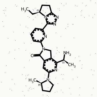 CC[C@H]1CCc2nnc(-c3cccc(N4Cc5c(cc(N6CCC[C@H]6C)nc5[C@H](C)N)C4=O)n3)n21